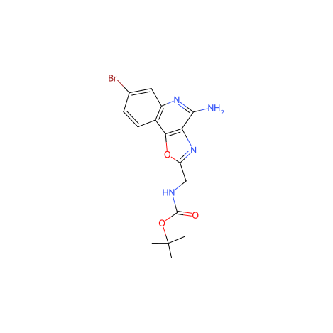 CC(C)(C)OC(=O)NCc1nc2c(N)nc3cc(Br)ccc3c2o1